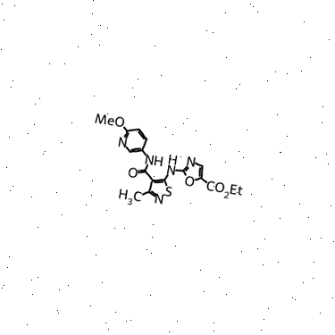 CCOC(=O)c1cnc(Nc2snc(C)c2C(=O)Nc2ccc(OC)nc2)o1